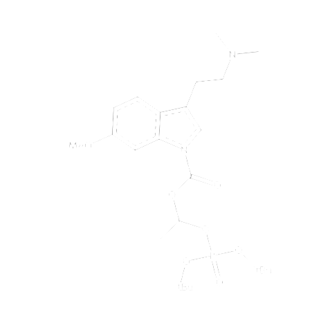 COc1ccc2c(CCN(C)C)cn(C(=O)OC(C)OP(=O)(OC(C)(C)C)OC(C)(C)C)c2c1